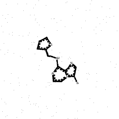 Brc1cnc2c(NCc3cccs3)nccn12